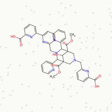 COC(=O)C12CN(Cc3cccc(C(=O)O)n3)CC(C(=O)OC)(C(c3ccccn3)N(Cc3cccc(-c4cccc(C(=O)O)n4)n3)C1c1ccccn1)C2O